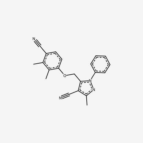 Cc1nn(-c2ccccc2)c(COc2ccc(C#N)c(C)c2C)c1C#N